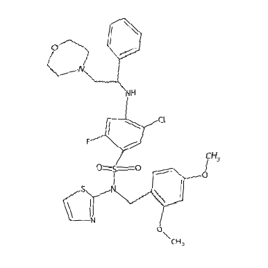 COc1ccc(CN(c2nccs2)S(=O)(=O)c2cc(Cl)c(NC(CN3CCOCC3)c3ccccc3)cc2F)c(OC)c1